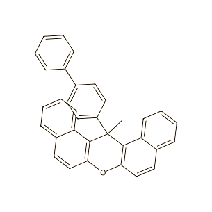 CC1(c2ccc(-c3ccccc3)cc2)c2c(ccc3ccccc23)Oc2ccc3ccccc3c21